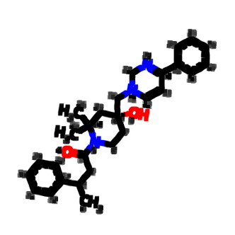 CC(CC(=O)N1CC[C@](O)(CN2C=CC(c3ccccc3)=NC2)CC1(C)C)c1ccccc1